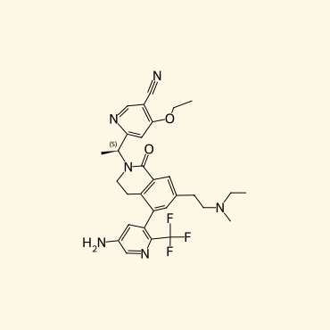 CCOc1cc([C@H](C)N2CCc3c(cc(CCN(C)CC)cc3-c3cc(N)cnc3C(F)(F)F)C2=O)ncc1C#N